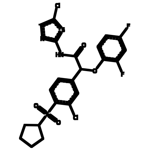 O=C(Nc1n[c]c(Cl)s1)C(Oc1ccc(F)cc1F)c1ccc(S(=O)(=O)C2CCCC2)c(Cl)c1